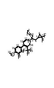 C=N/N=C(/CC1CC1(F)F)N1C=CC(c2ccc(OC)c(F)c2)=C(C(F)(F)F)C1